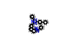 c1ccc(-c2ccc(-c3nc(-c4ccccc4)nc(-c4ccc5ccc6ccc7nn(-c8ccccc8)nc7c6c5c4)n3)cc2)cc1